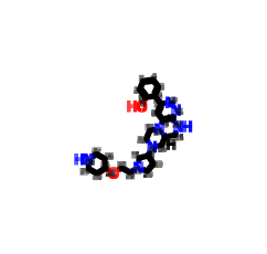 Oc1ccccc1-c1cc2c(nn1)NC[C@H]1CN(C3CCN(CCOC4CCNCC4)C3)CCN21